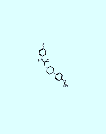 CCCOc1ccc([C@H]2CC[C@@H](CC(=O)Nc3ccc(F)cc3)CC2)cc1